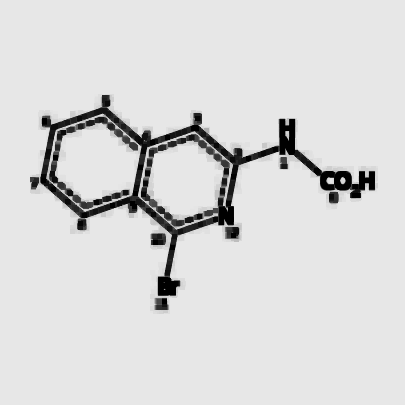 O=C(O)Nc1cc2ccccc2c(Br)n1